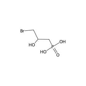 O=P(O)(O)CC(O)CBr